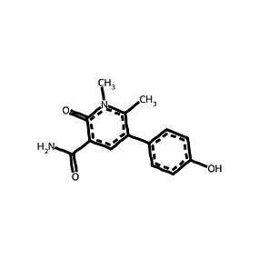 Cc1c(-c2ccc(O)cc2)cc(C(N)=O)c(=O)n1C